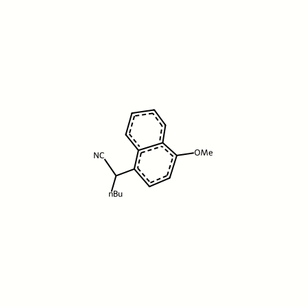 CCCCC(C#N)c1ccc(OC)c2ccccc12